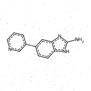 Nc1nc2cc(-c3cccnc3)ccc2[nH]1